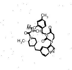 CCN(C)C(=O)N1CC[C@@H](Cc2ccn3ncc(N4CCC(=O)N(Cc5ccc(C)cc5OC)C4=O)c3c2)C[C@@H]1C